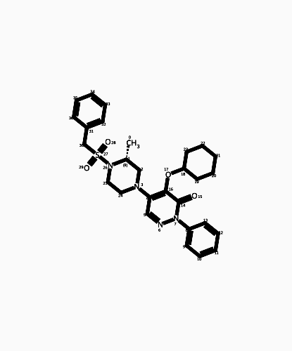 C[C@@H]1CN(c2cnn(-c3ccccc3)c(=O)c2OC2CCCCC2)CCN1S(=O)(=O)Cc1ccccc1